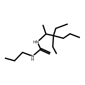 C=C(NCCC)NC(C)C(CC)(CC)CCC